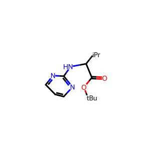 CC(C)C(Nc1ncccn1)C(=O)OC(C)(C)C